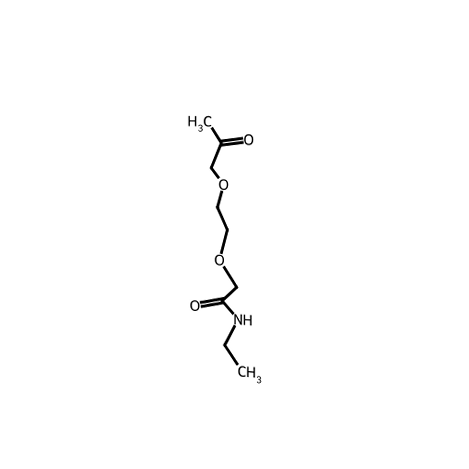 CCNC(=O)COCCOCC(C)=O